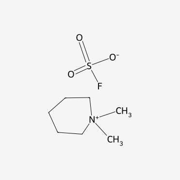 C[N+]1(C)CCCCC1.O=S(=O)([O-])F